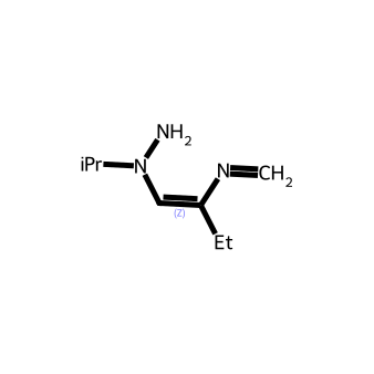 C=N/C(=C\N(N)C(C)C)CC